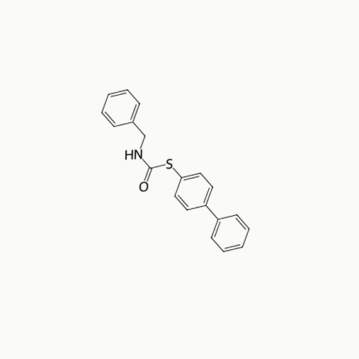 O=C(NCc1ccccc1)Sc1ccc(-c2ccccc2)cc1